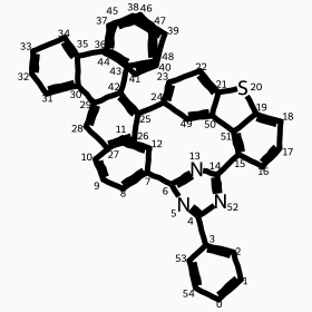 c1ccc(-c2nc(-c3ccccc3)nc(-c3cccc4sc5ccc(-c6cccc(-c7ccccc7-c7ccccc7)c6-c6ccccc6)cc5c34)n2)cc1